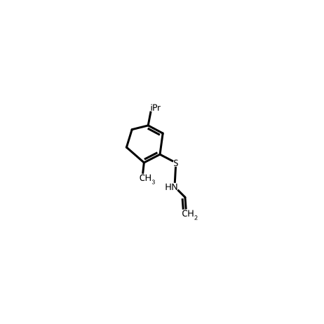 C=CNSC1=C(C)CCC(C(C)C)=C1